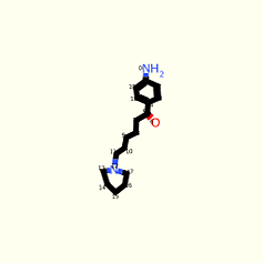 Nc1ccc(C(=O)CCCCCN2CC[CH]CC2)cc1